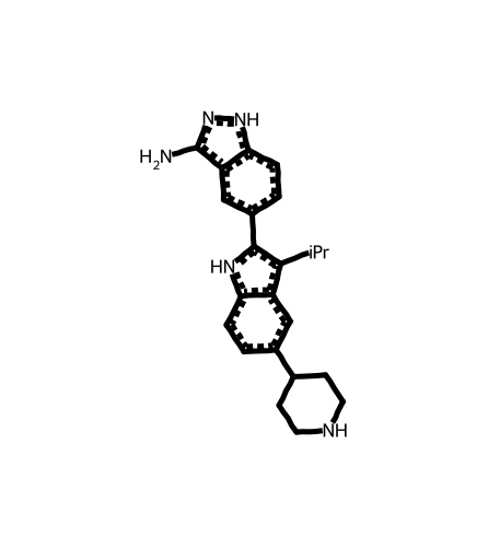 CC(C)c1c(-c2ccc3[nH]nc(N)c3c2)[nH]c2ccc(C3CCNCC3)cc12